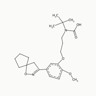 COc1ccc(C2=NOC3(CCCC3)C2)cc1OCCCN(C(=O)O)C(C)(C)C